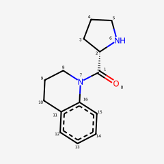 O=C([C@@H]1CCCN1)N1CCCc2ccccc21